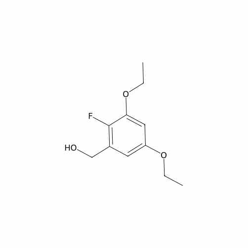 CCOc1cc(CO)c(F)c(OCC)c1